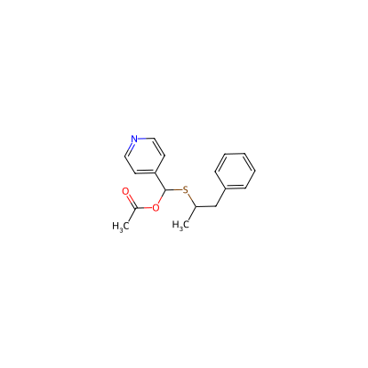 CC(=O)OC(SC(C)Cc1ccccc1)c1ccncc1